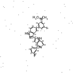 CN(C)c1cc(I)cc(-c2ccc3[nH]nc(-c4cc5c(-c6cccc(F)c6)nccc5[nH]4)c3c2)c1